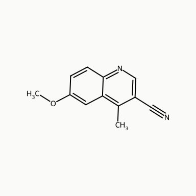 COc1ccc2ncc(C#N)c(C)c2c1